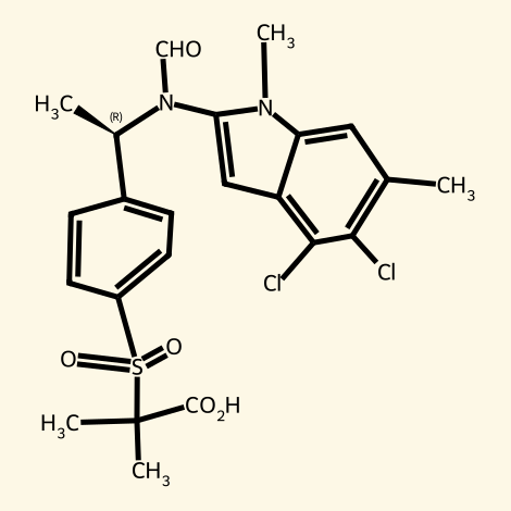 Cc1cc2c(cc(N(C=O)[C@H](C)c3ccc(S(=O)(=O)C(C)(C)C(=O)O)cc3)n2C)c(Cl)c1Cl